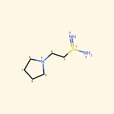 N=S(N)CCN1CCCC1